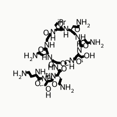 CC(C)C[C@@H]1NC(=O)CNC(=O)[C@H](CCN)NC(=O)[C@@H](NC(=O)[C@H](CCN)NC(=O)[C@@H](NC(=O)[C@@H](N)CCN)[C@@H](C)O)CCNC(=O)[C@H]([C@@H](C)O)NC(=O)[C@H](CCN)NC(=O)[C@H](CCN)NC1=O